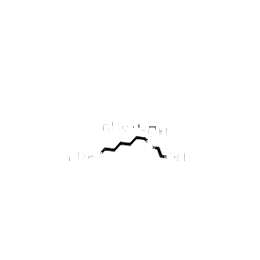 CCCCCCC.CCCCCCCCCCCCCCCC(O)OCCO